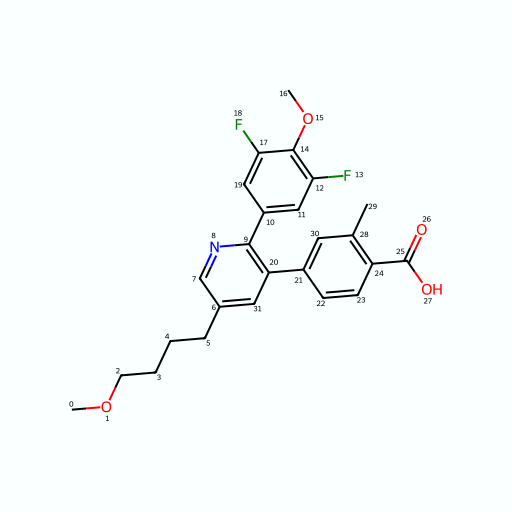 COCCCCc1cnc(-c2cc(F)c(OC)c(F)c2)c(-c2ccc(C(=O)O)c(C)c2)c1